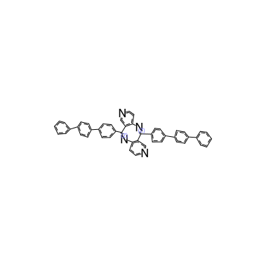 c1ccc(-c2ccc(-c3ccc(/C4=N/c5ccncc5/C(c5ccc(-c6ccc(-c7ccccc7)cc6)cc5)=N\c5ccncc54)cc3)cc2)cc1